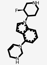 F[C@H]1CNCC[C@H]1n1ccc2c(N3C=CCNC3)cccc21